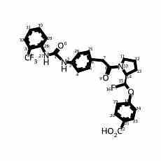 O=C(Nc1ccc(CC(=O)N2CCC[C@H]2C(F)Oc2ccc(C(=O)O)cc2)cc1)Nc1ccccc1C(F)(F)F